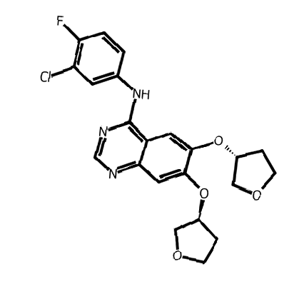 Fc1ccc(Nc2ncnc3cc(O[C@H]4CCOC4)c(O[C@@H]4CCOC4)cc23)cc1Cl